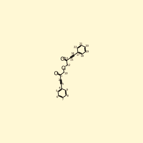 O=C(C#Cc1ccccc1)COCC(=O)C#Cc1ccccc1